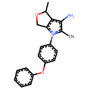 CC1OCc2c1c(N)c(C#N)n2-c1ccc(Oc2ccccc2)cc1